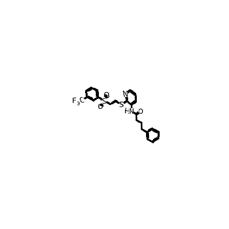 O=C(CCCc1ccccc1)Nc1cccnc1SCCS(=O)(=O)c1cccc(C(F)(F)F)c1